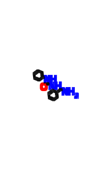 NCc1ccccc1NC(=O)Nc1ccccc1